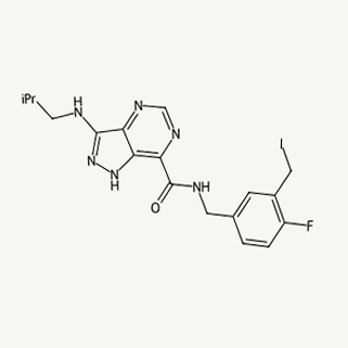 CC(C)CNc1n[nH]c2c(C(=O)NCc3ccc(F)c(CI)c3)ncnc12